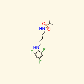 CC(C)S(=O)(=O)NCCCCCNc1c(F)cc(F)cc1F